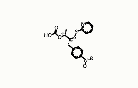 C[C@H](OC(=O)O)[C@@H](Cc1ccc([N+](=O)[O-])cc1)SSc1ccccn1